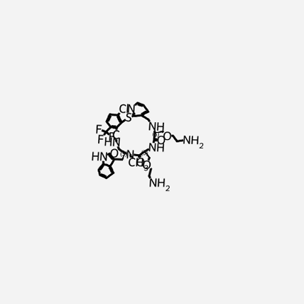 CN1C(=O)[C@H](COCCN)NC(=O)[C@H](COCCN)NCc2cccnc2Sc2c(Cl)ccc(C(F)(F)F)c2CNC(=O)[C@@H]1Cc1c[nH]c2ccccc12